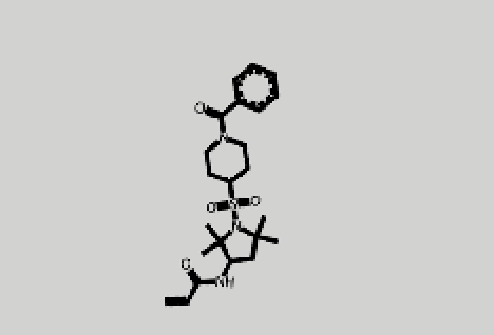 C=CC(=O)NC1CC(C)(C)N(S(=O)(=O)C2CCN(C(=O)c3ccccc3)CC2)C1(C)C